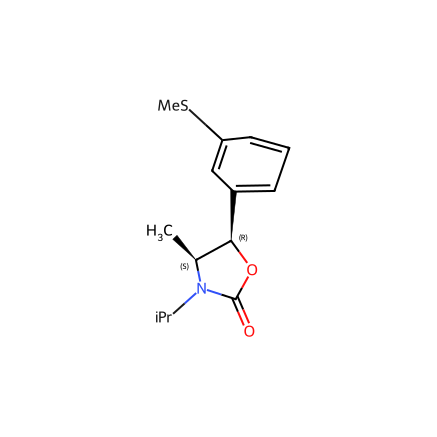 CSc1cccc([C@H]2OC(=O)N(C(C)C)[C@H]2C)c1